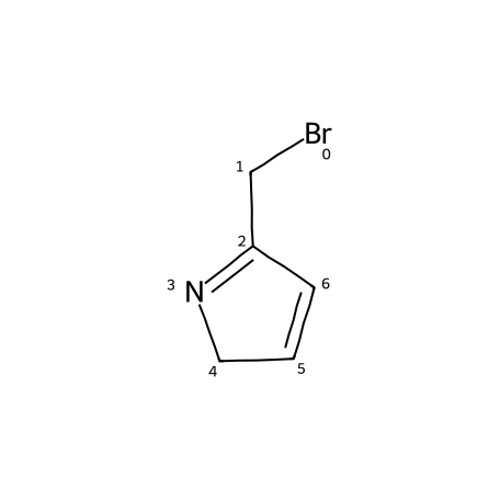 BrCC1=NCC=C1